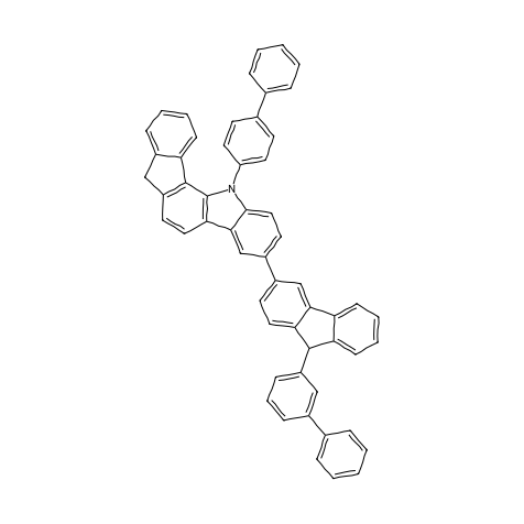 c1ccc(-c2ccc(-n3c4ccc(-c5ccc6c(c5)-c5ccccc5C6c5cccc(-c6ccccc6)c5)cc4c4ccc5c(c43)-c3ccccc3C5)cc2)cc1